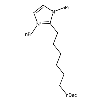 CCCCCCCCCCCCCCCCc1n(C(C)C)cc[n+]1CCC